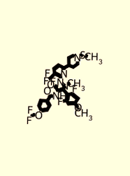 COc1cc(F)c(-c2c(NC(=O)c3ccc(OC(F)F)cc3)c(=O)n(-c3nc(C4CCN(SC)CC4)ccc3C(F)(F)F)n2C)c(F)c1